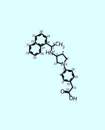 CC(NC1CCN(c2ccc(CC(=O)O)cc2)C1)c1cccc2ccccc12